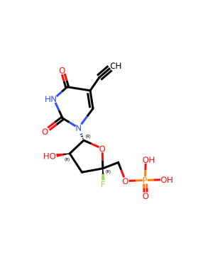 C#Cc1cn([C@@H]2O[C@](F)(COP(=O)(O)O)C[C@H]2O)c(=O)[nH]c1=O